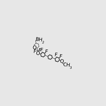 BCC1CCC(C(F)(F)Oc2ccc(-c3ccc(-c4ccc(OCC)c(F)c4F)cc3)c(F)c2F)OC1